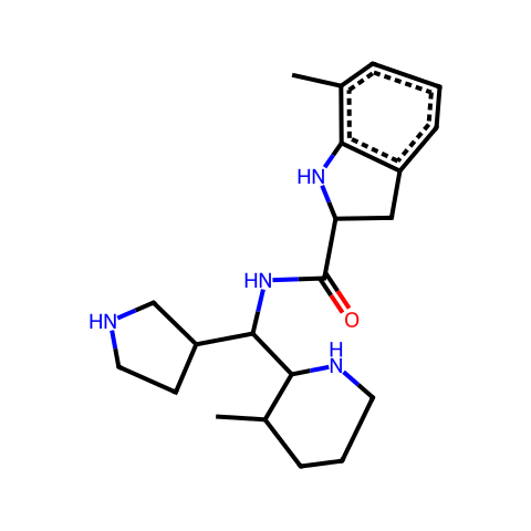 Cc1cccc2c1NC(C(=O)NC(C1CCNC1)C1NCCCC1C)C2